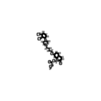 COSC(=O)OCn1c(=O)ccc2ccc(OCCCCN3CCN(c4cccc(Cl)c4Cl)CC3)cc21